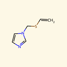 C=CSCn1ccnc1